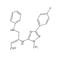 Cn1nc(-c2ccc(F)cc2)nc1N/C(=C\C=O)CNc1ccccc1